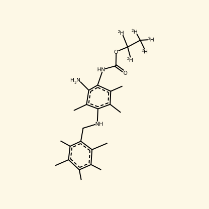 [2H]C([2H])([2H])C([2H])([2H])OC(=O)Nc1c(C)c(C)c(NCc2c(C)c(C)c(C)c(C)c2C)c(C)c1N